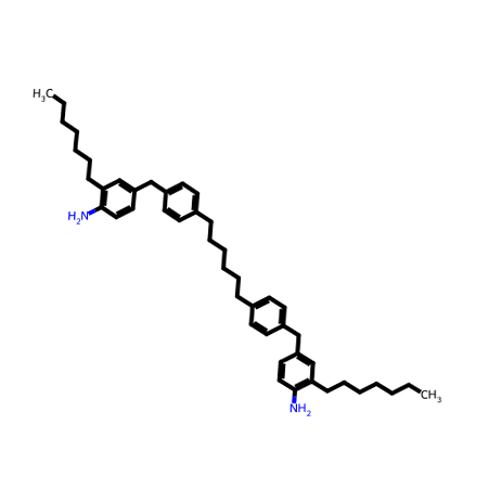 CCCCCCCc1cc(Cc2ccc(CCCCCCc3ccc(Cc4ccc(N)c(CCCCCCC)c4)cc3)cc2)ccc1N